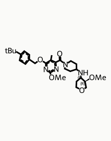 COc1nc(OCc2ccc(C(C)(C)C)cc2)c(C)c(C(=O)N2CCC(N[C@@H]3CCOC[C@@H]3OC)CC2)n1